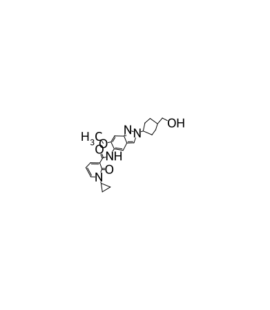 COc1cc2nn(C3CCC(CO)CC3)cc2cc1NC(=O)c1cccn(C2CC2)c1=O